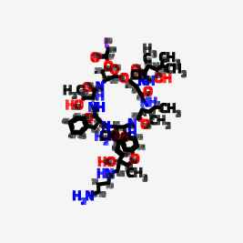 CC[C@H](C)[C@H]1NC(=O)[C@@H](NC(=O)[C@H](C)[C@H](O)C(C)C)[C@@H](C)OC(=O)[C@H](COC(=O)CI)NC(=O)[C@@H]([C@@H](C)O)NC(=O)[C@H](Cc2ccccc2)N(C)C(=O)[C@H](c2ccc(O[C@H](C)[C@](O)(/C=C/C(N)=O)CNCCCN)cc2)NC1=O